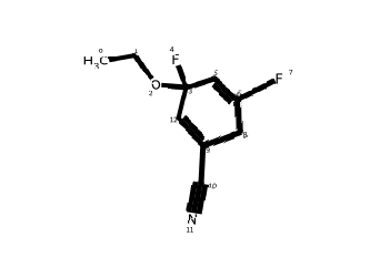 CCOC1(F)C=C(F)CC(C#N)=C1